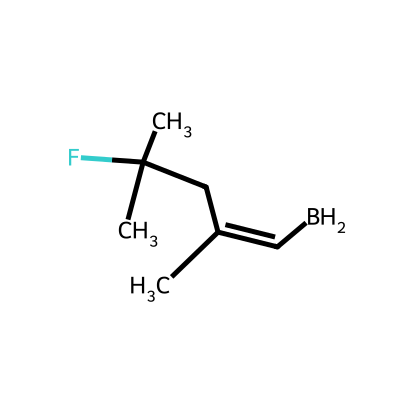 B/C=C(/C)CC(C)(C)F